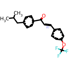 CC(C)Cc1ccc(C(=O)/C=C/c2ccc(OC(F)(F)F)cc2)cc1